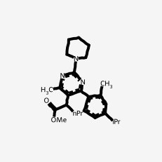 CCCC(C(=O)OC)c1c(C)nc(N2CCCCC2)nc1-c1ccc(C(C)C)cc1C